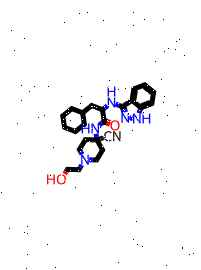 N#CC1(NC(=O)C(CC2CCCCC2)Nc2n[nH]c3ccccc23)CCN(CCO)CC1